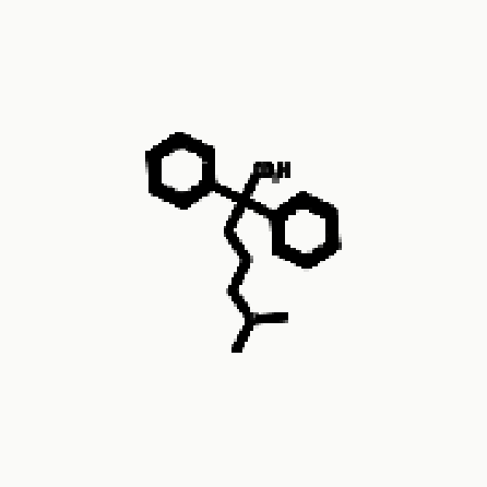 CN(C)CCCC(C(=O)O)(c1ccccc1)c1ccccc1